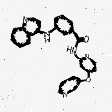 O=C(Nc1cc(Oc2cccnc2)ccn1)c1cccc(Nc2ccnc3ccccc23)c1